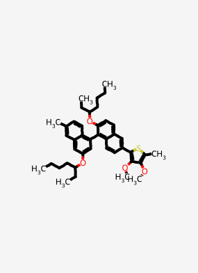 CCCCC(CC)Oc1cc(-c2c(OC(CC)CCCC)ccc3cc(-c4sc(C)c(OC)c4OC)ccc23)c2ccc(C)cc2c1